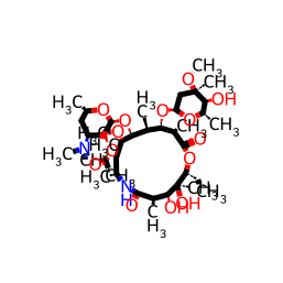 CC[C@H]1OC(=O)[C@H](C)[C@@H](O[C@H]2C[C@@](C)(OC)[C@@H](O)[C@H](C)O2)[C@H](C)[C@@H](O[C@@H]2O[C@H](C)C[C@H](N(C)C)[C@H]2OC(C)=O)[C@](C)(OC)C[C@@H](C)NC(=O)[C@H](C)[C@@H](O)[C@]1(C)O